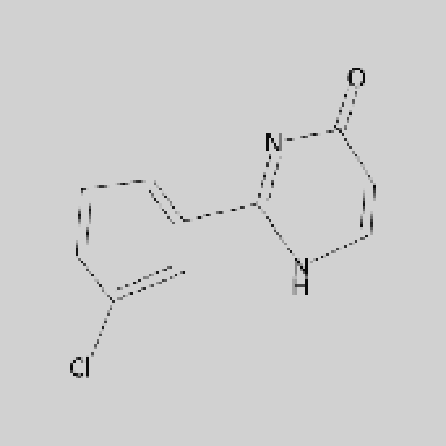 O=c1cc[nH]c(-c2cccc(Cl)c2)n1